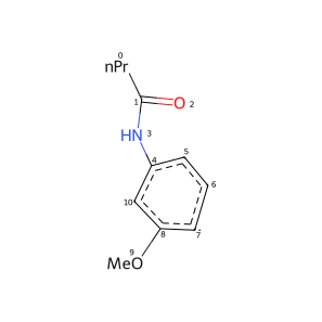 CCCC(=O)Nc1cc[c]c(OC)c1